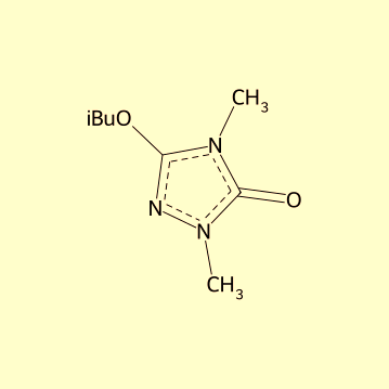 CC(C)COc1nn(C)c(=O)n1C